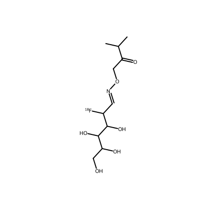 CC(C)C(=O)CON=CC([18F])C(O)C(O)C(O)CO